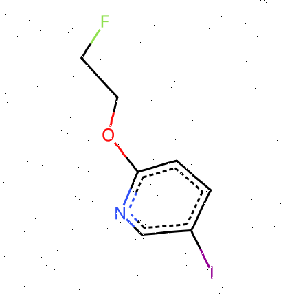 FCCOc1ccc(I)cn1